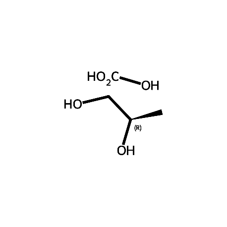 C[C@@H](O)CO.O=C(O)O